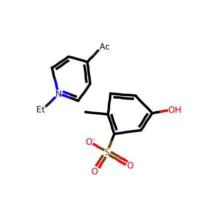 CC[n+]1ccc(C(C)=O)cc1.Cc1ccc(O)cc1S(=O)(=O)[O-]